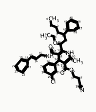 CCCCC(CC(OCC)C1=C(C(=O)NCC=Cc2ccccc2)C(c2cccc(Cl)c2)C(C(=O)OCCC#N)=C(C)N1)c1ccccc1